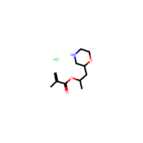 C=C(C)C(=O)OC(C)CC1CNCCO1.Cl